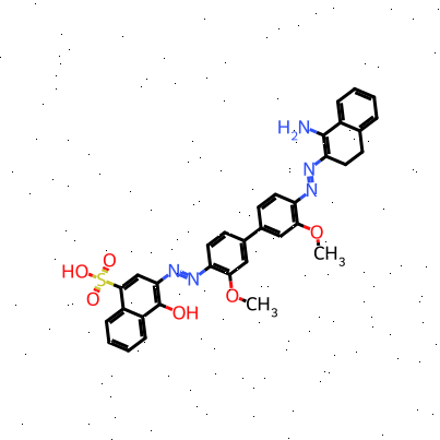 COc1cc(-c2ccc(N=Nc3cc(S(=O)(=O)O)c4ccccc4c3O)c(OC)c2)ccc1N=NC1=C(N)c2ccccc2CC1